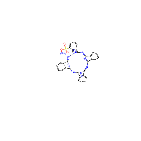 NOS(=O)(=O)c1cccc2c3nc4nc(nc5[nH]c(nc6nc(nc([nH]3)c12)-c1ccccc1-6)c1ccccc51)-c1ccccc1-4